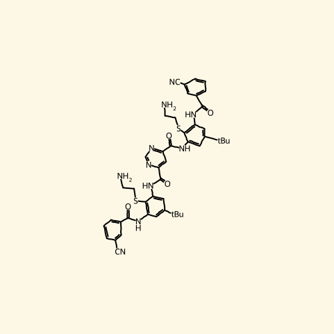 CC(C)(C)c1cc(NC(=O)c2cccc(C#N)c2)c(SCCN)c(NC(=O)c2cc(C(=O)Nc3cc(C(C)(C)C)cc(NC(=O)c4cccc(C#N)c4)c3SCCN)ncn2)c1